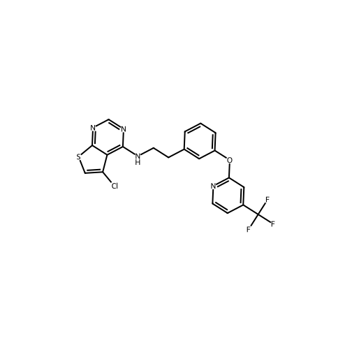 FC(F)(F)c1ccnc(Oc2cccc(CCNc3ncnc4scc(Cl)c34)c2)c1